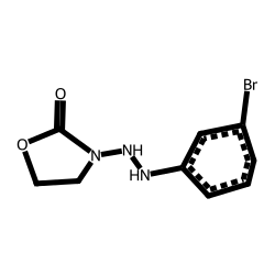 O=C1OCCN1NNc1cccc(Br)c1